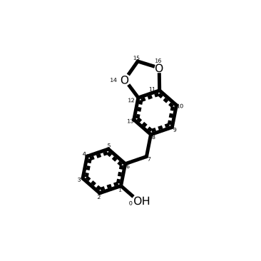 Oc1ccccc1Cc1ccc2c(c1)OCO2